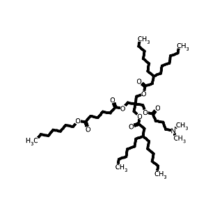 CCCCCCCOC(=O)CCCCC(=O)OCC(COC(=O)CCCN(C)C)(COC(=O)CC(CCCCCC)CCCCCC)COC(=O)CC(CCCCCC)CCCCCC